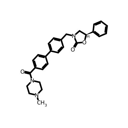 CN1CCN(C(=O)c2ccc(-c3ccc(CN4C[C@@H](c5ccccc5)OC4=O)cc3)cc2)CC1